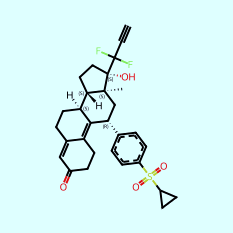 C#CC(F)(F)[C@]1(O)CC[C@H]2[C@@H]3CCC4=CC(=O)CCC4=C3[C@@H](c3ccc(S(=O)(=O)C4CC4)cc3)C[C@@]21C